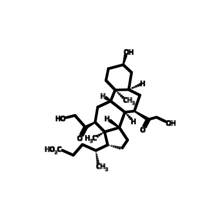 C[C@H](CCC(=O)O)[C@H]1CC[C@H]2[C@@H]3[C@H](C(=O)CO)C[C@@H]4C[C@H](O)CC[C@]4(C)[C@H]3C[C@H](C(=O)CO)[C@]12C